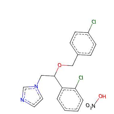 Clc1ccc(COC(Cn2ccnc2)c2ccccc2Cl)cc1.O=[N+]([O-])O